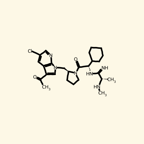 CN[C@@H](C)C(=N)N[C@H](C(=O)N1CCC[C@H]1Cn1cc(C(C)=O)c2cc(Cl)cnc21)C1CCCCC1